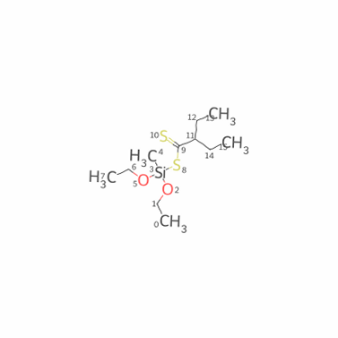 CCO[Si](C)(OCC)SC(=S)C(CC)CC